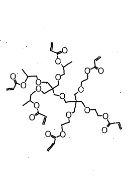 C=CC(=O)OCCOCC(COCCOC(=O)C=C)(COCCOC(=O)C=C)COCC(COCC(C)OC(=O)C=C)(COCC(C)OC(=O)C=C)COCC(C)OC(=O)C=C